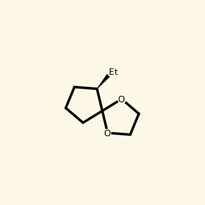 CC[C@@H]1CCCC12OCCO2